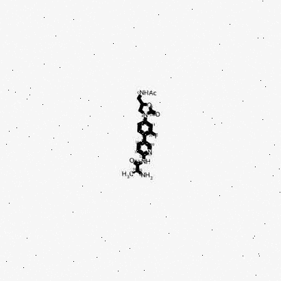 CC(=O)NCC1CN(c2ccc(-c3ccc(NC(=O)[C@H](C)N)nc3)c(F)c2)C(=O)O1